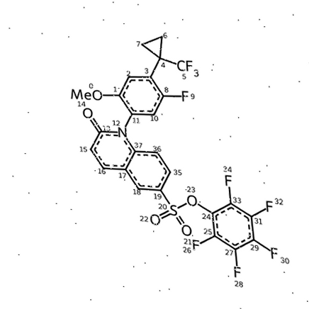 COc1cc(C2(C(F)(F)F)CC2)c(F)cc1-n1c(=O)ccc2cc(S(=O)(=O)Oc3c(F)c(F)c(F)c(F)c3F)ccc21